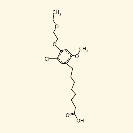 CCOCCOc1cc(OC)c(CCCCCCCC(=O)O)cc1Cl